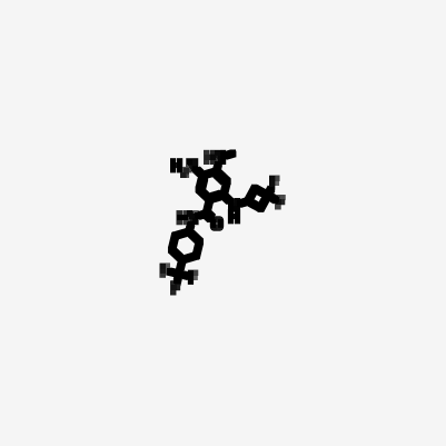 CNc1cc(NC2CC(F)(F)C2)c(C(=O)NC2CCC(C(F)(F)F)CC2)cc1N